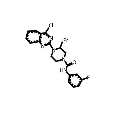 CC(C)C1CN(C(=O)Nc2cccc(F)c2)CCN1c1nc(Cl)c2ccccc2n1